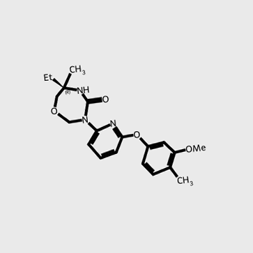 CC[C@]1(C)COCN(c2cccc(Oc3ccc(C)c(OC)c3)n2)C(=O)N1